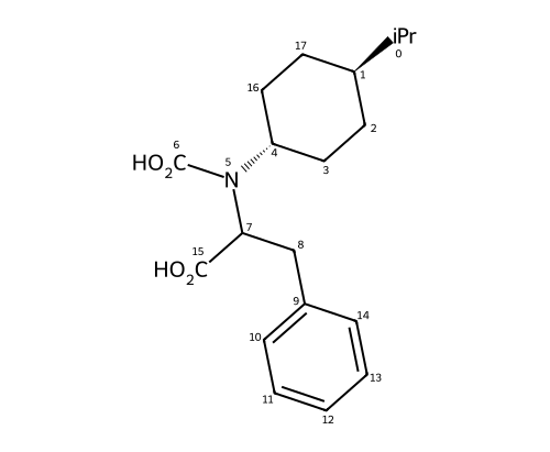 CC(C)[C@H]1CC[C@H](N(C(=O)O)C(Cc2ccccc2)C(=O)O)CC1